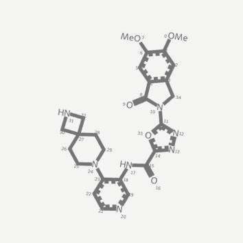 COc1cc2c(cc1OC)C(=O)N(c1nnc(C(=O)Nc3cnccc3N3CCC4(CC3)CNC4)o1)C2